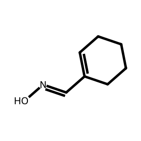 ON=CC1=CCCCC1